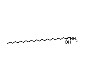 CCCCCCCCCCCCCCCCCCCCCC/C(O)=C/N